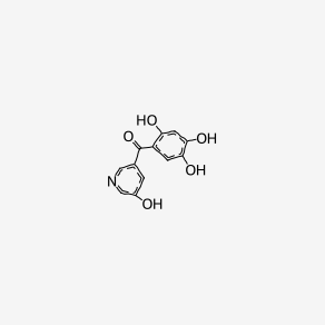 O=C(c1cncc(O)c1)c1cc(O)c(O)cc1O